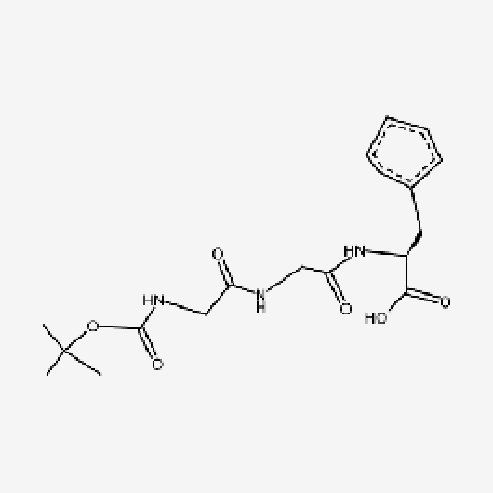 CC(C)(C)OC(=O)NCC(=O)NCC(=O)N[C@@H](Cc1ccccc1)C(=O)O